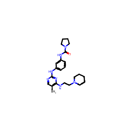 Bc1cnc(Nc2cccc(NC(=O)N3CCCC3)c2)nc1NCCN1CCCCC1